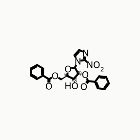 O=C(OC[C@H]1OC(n2ccnc2[N+](=O)[O-])[C@H](OC(=O)c2ccccc2)[C@@H]1O)c1ccccc1